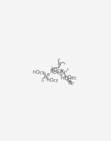 CCCCCCCCCCCCN(C)C.CCCCCCCCCC[N+](C)(C)CCCCCCCC.CCCCCCCC[N+](C)(C)CCCCCCCC.Cl.[Br-].[Cl-]